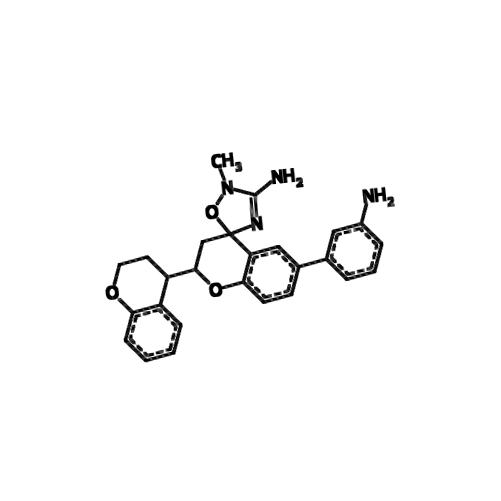 CN1OC2(CC(C3CCOc4ccccc43)Oc3ccc(-c4cccc(N)c4)cc32)N=C1N